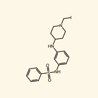 O=S(=O)(Nc1cccc(NC2CCN(CI)CC2)c1)c1ccccc1